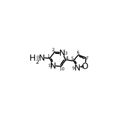 Nc1cnc(-c2ccon2)cn1